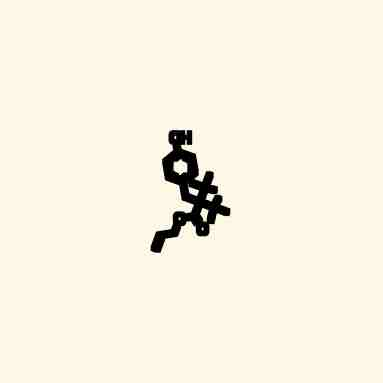 C=CCOC(=O)C(Cc1ccc(O)cc1)(C(C)(C)C)C(C)(C)C